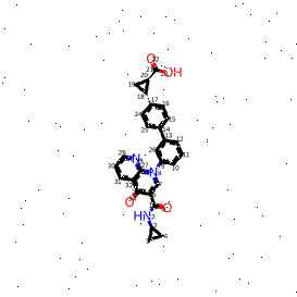 O=C(NC1CC1)c1cn(-c2cccc(-c3ccc([C@@H]4C[C@H]4C(=O)O)cc3)c2)c2ncccc2c1=O